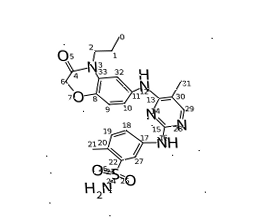 CCCN1C(=O)COc2ccc(Nc3nc(Nc4ccc(C)c(S(N)(=O)=O)c4)ncc3C)cc21